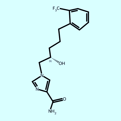 NC(=O)c1cn(C[C@@H](O)CCCc2ccccc2C(F)(F)F)cn1